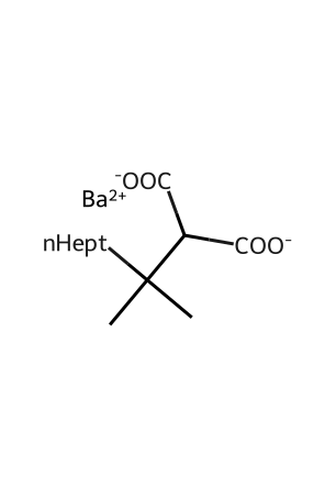 CCCCCCCC(C)(C)C(C(=O)[O-])C(=O)[O-].[Ba+2]